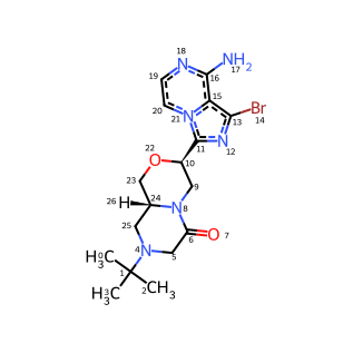 CC(C)(C)N1CC(=O)N2C[C@H](c3nc(Br)c4c(N)nccn34)OC[C@H]2C1